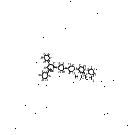 CC1(C)c2ccccc2-c2ccc(-c3ccc(-c4ccc(-c5cc(-c6ccccc6)cc(-c6ccccc6)n5)cc4)cc3)cc21